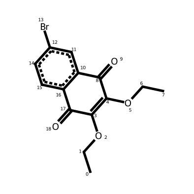 CCOC1=C(OCC)C(=O)c2cc(Br)ccc2C1=O